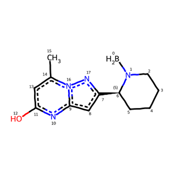 BN1CCCC[C@H]1c1cc2nc(O)cc(C)n2n1